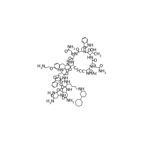 CC(=O)NC1CCSCC(C(=O)NC(Cc2ccc(OCCN)cc2)C(=O)NC(Cc2ccc3ccccc3c2)C(=O)NC2(C(=O)NC(CCCCNC3CCCC(C4CCCCCC4)C3)C(=O)NC(CC(N)=O)C(=O)NC(CC(N)=O)C(N)=O)CCOCC2)NC(=O)C(CCC(N)=O)NC(=O)C(Cc2c[nH]c3ccccc23)NC(=O)C(C(C)O)NC(=O)C(CCC(N)=O)NC1=O